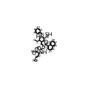 CCC(C)C(CN(CC(=O)NC(CCSC)C(=O)OC)Cc1cccc2ccccc12)C(=O)[C@@H](CS)NCc1ccccc1